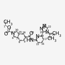 CCOC(=O)n1cc2ccc(C(=O)Nc3cccc(-c4nncn4C(C)C)n3)cc2c1